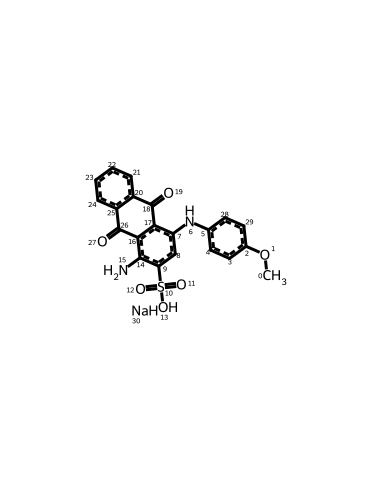 COc1ccc(Nc2cc(S(=O)(=O)O)c(N)c3c2C(=O)c2ccccc2C3=O)cc1.[NaH]